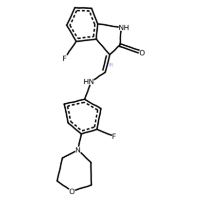 O=C1Nc2cccc(F)c2/C1=C\Nc1ccc(N2CCOCC2)c(F)c1